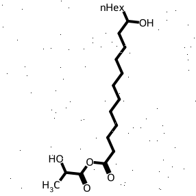 CCCCCCC(O)CCCCCCCCCCC(=O)OC(=O)C(C)O